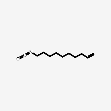 C=CCCCCCCCCN=C=O